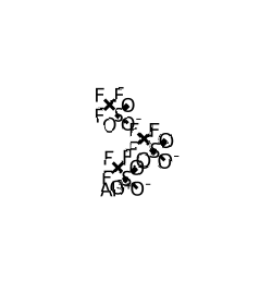 O=S(=O)([O-])C(F)(F)F.O=S(=O)([O-])C(F)(F)F.O=S(=O)([O-])C(F)(F)F.[Al+3]